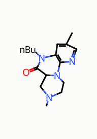 CCCCN1C(=O)C2CN(C)CCN2c2ncc(C)cc21